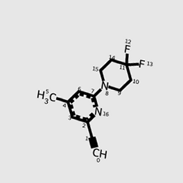 C#Cc1cc(C)cc(N2CCC(F)(F)CC2)n1